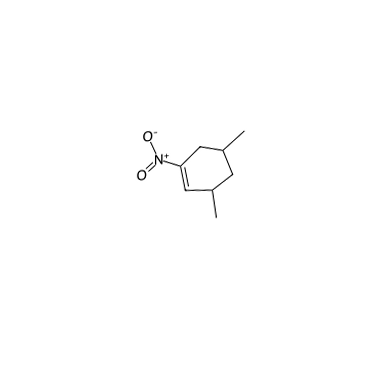 CC1C=C([N+](=O)[O-])CC(C)C1